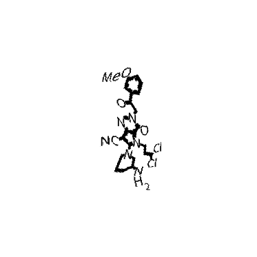 COc1cccc(C(=O)Cn2cnc3c(C#N)c(N4CCCC(N)C4)n(CC=C(Cl)Cl)c3c2=O)c1